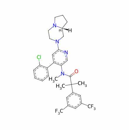 CN(C(=O)C(C)(C)c1cc(C(F)(F)F)cc(C(F)(F)F)c1)c1cnc(N2CCN3CCC[C@@H]3C2)cc1-c1ccccc1Cl